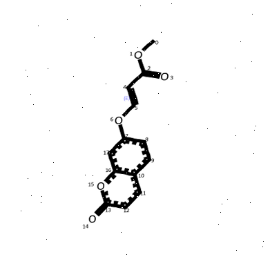 COC(=O)/C=C/Oc1ccc2ccc(=O)oc2c1